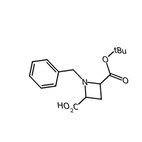 CC(C)(C)OC(=O)C1CC(C(=O)O)N1Cc1ccccc1